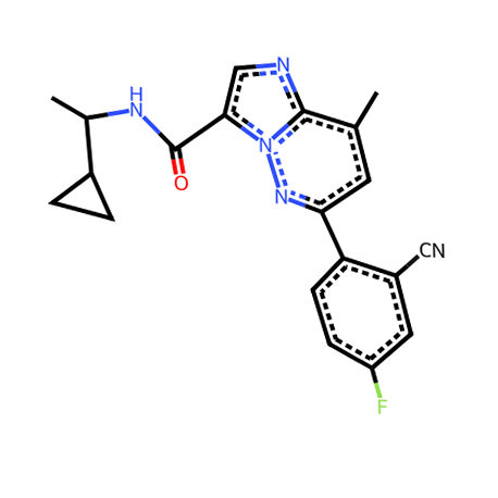 Cc1cc(-c2ccc(F)cc2C#N)nn2c(C(=O)NC(C)C3CC3)cnc12